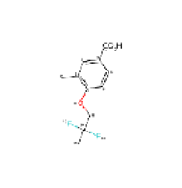 Cc1cc(C(=O)O)ccc1OCC(C)(F)F